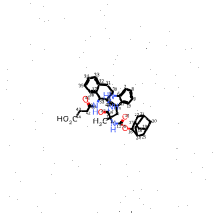 CC(Cc1c[nH]c2ccccc12)(NC(=O)OC1C2CC3CC(C2)CC1C3)C(=O)NC1CCc2ccccc2C1NC(=O)CCC(=O)O